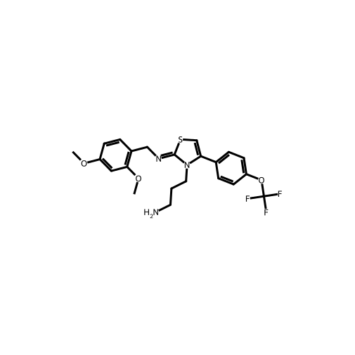 COc1ccc(CN=c2scc(-c3ccc(OC(F)(F)F)cc3)n2CCCN)c(OC)c1